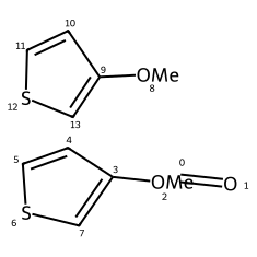 C=O.COc1ccsc1.COc1ccsc1